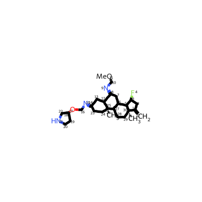 C=C1CC(F)C2C3C/C(=N\COC)C4C/C(=N/COC5CCNC5)CC[C@]4(C)C3CC[C@]12C